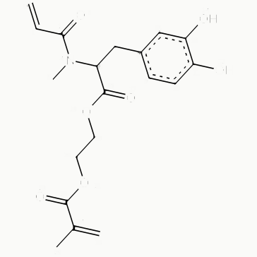 C=CC(=O)N(C)C(Cc1ccc(O)c(O)c1)C(=O)OCCOC(=O)C(=C)C